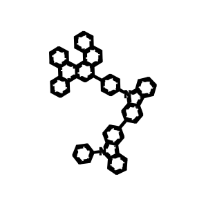 c1ccc(-n2c3ccccc3c3cc(-c4ccc5c6ccccc6n(-c6ccc(-c7cc8c9ccccc9c9ccccc9c8c8c7ccc7ccccc78)cc6)c5c4)ccc32)cc1